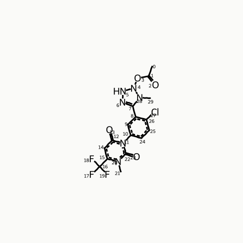 CC(=O)ON1NN=C(c2cc(-n3c(=O)cc(C(F)(F)F)n(C)c3=O)ccc2Cl)N1C